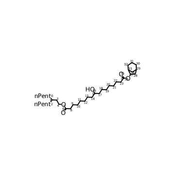 CCCCCC(CCCCC)CCOC(=O)CCCCCCCC(O)CCCCCCCC(=O)OC1CC2CCCC1C2